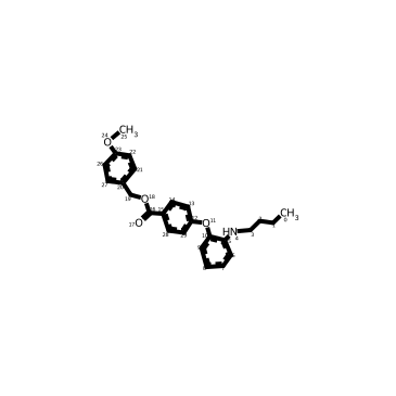 CCCCNc1ccccc1Oc1ccc(C(=O)OCc2ccc(OC)cc2)cc1